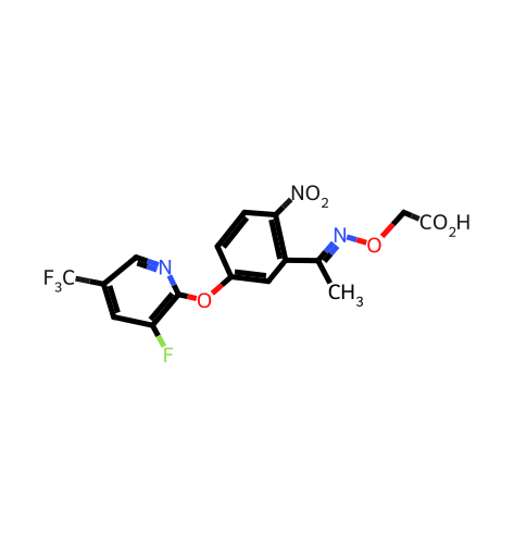 CC(=NOCC(=O)O)c1cc(Oc2ncc(C(F)(F)F)cc2F)ccc1[N+](=O)[O-]